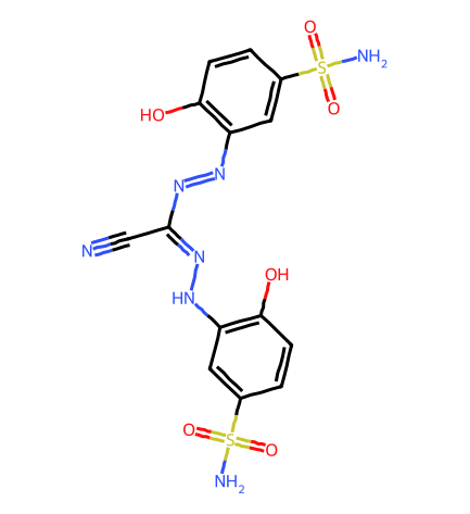 N#CC(N=Nc1cc(S(N)(=O)=O)ccc1O)=NNc1cc(S(N)(=O)=O)ccc1O